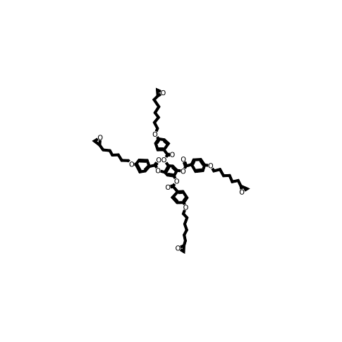 O=C(Oc1cc(OC(=O)c2ccc(OCCCCCCC3CO3)cc2)c(OC(=O)c2ccc(OCCCCCCC3CO3)cc2)cc1OC(=O)c1ccc(OCCCCCCC2CO2)cc1)c1ccc(OCCCCCCC2CO2)cc1